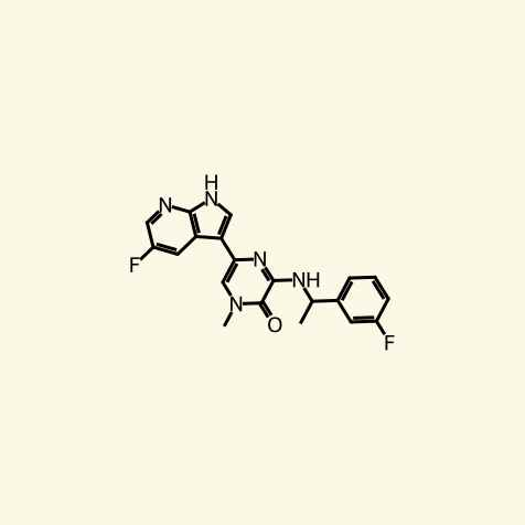 CC(Nc1nc(-c2c[nH]c3ncc(F)cc23)cn(C)c1=O)c1cccc(F)c1